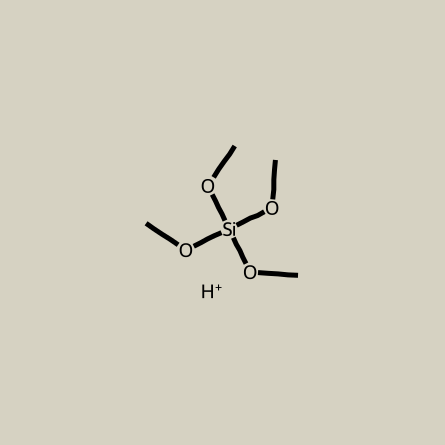 CO[Si](OC)(OC)OC.[H+]